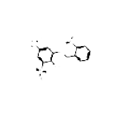 O=[N+]([O-])c1ccccc1COc1cc(S(=O)(=O)O)cc(S(=O)(=O)O)c1O